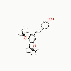 CC(C)[Si](Oc1cc(/C=C/c2ccc(O)cc2)cc(O[Si](C(C)C)(C(C)C)C(C)C)c1)(C(C)C)C(C)C